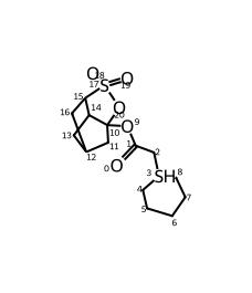 O=C(C[SH]1CCCCC1)OC12CC3CC1C(C3)S(=O)(=O)O2